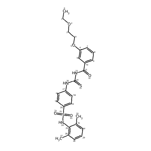 CCOCCOc1cccc(C(=O)NC(=S)Nc2ccc(S(=O)(=O)Nc3c(C)cccc3C)cc2)c1